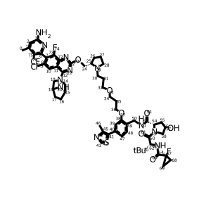 Cc1cc(N)nc(-c2c(Cl)cc3c(N4CC5CCC(C4)N5)nc(OC[C@@H]4CCCN4CCCOCCCOc4cc(-c5scnc5C)ccc4CNC(=O)[C@@H]4C[C@@H](O)CN4C(=O)[C@H](NC(=O)C4(F)CC4)C(C)(C)C)nc3c2F)c1C(F)(F)F